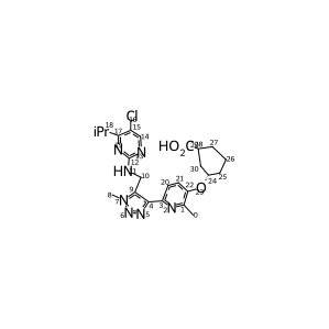 Cc1nc(-c2nnn(C)c2CNc2ncc(Cl)c(C(C)C)n2)ccc1O[C@H]1CCCC(C(=O)O)C1